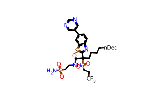 CCCCCCCCCCCCCCC(C(=O)NCCS(N)(=O)=O)(c1nc2ccc(-c3cncnc3)cc2s1)S(=O)(=O)CCC(F)(F)F